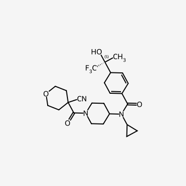 C[C@](O)(C1C=CC(C(=O)N(C2CC2)C2CCN(C(=O)C3(C#N)CCOCC3)CC2)=CC1)C(F)(F)F